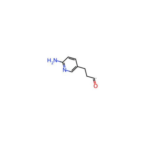 Nc1ccc(CC[C]=O)cn1